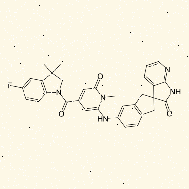 Cn1c(Nc2ccc3c(c2)CC2(C3)C(=O)Nc3ncccc32)cc(C(=O)N2CC(C)(C)c3cc(F)ccc32)cc1=O